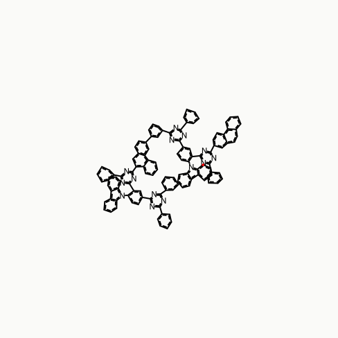 c1ccc(-c2nc(-c3cccc(-c4ccc5cc(-c6nc(-c7ccccc7)nc(-c7cc(-c8nc(-c9ccccc9)nc(-c9ccccc9)n8)ccc7-n7c8ccccc8c8ccccc87)n6)c6ccccc6c5c4)c3)nc(-c3ccc(-n4c5ccccc5c5ccccc54)c(-c4nc(-c5ccccc5)nc(-c5ccc6c(ccc7ccccc76)c5)n4)c3)n2)cc1